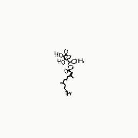 CC(=CC(=O)OCC(O)C1OC(=O)C(O)=C1O)CCCC(C)CCCC(C)C